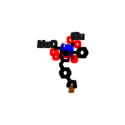 COC(=O)[C@H](C)NC(=O)[C@H](Cc1ccc(-c2ccsc2)cc1)CP(=O)(O)[C@@H](NC(=O)OC(C)(C)C)c1ccccc1